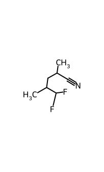 CC(C#N)CC(C)C(F)F